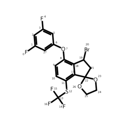 Fc1cc(F)cc(Oc2ccc(SC(F)(F)F)c3c2C(Br)CC32OCCO2)c1